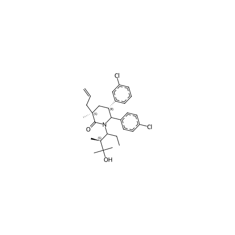 C=CC[C@@]1(C)C[C@H](c2cccc(Cl)c2)C(c2ccc(Cl)cc2)N(C(CC)[C@H](C)C(C)(C)O)C1=O